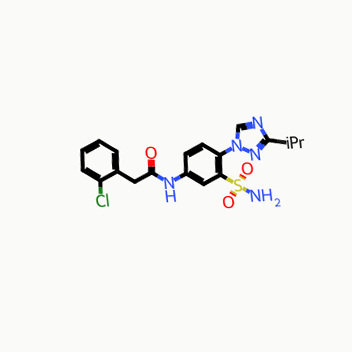 CC(C)c1ncn(-c2ccc(NC(=O)Cc3ccccc3Cl)cc2S(N)(=O)=O)n1